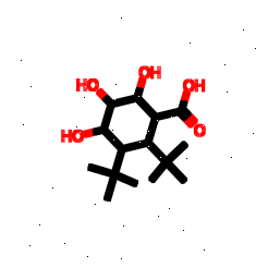 CC(C)(C)C1C(O)C(O)C(O)C(C(=O)O)C1C(C)(C)C